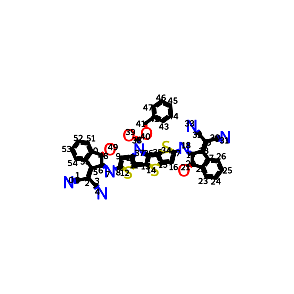 N#CC(C#N)=C1/C(=N/c2cc3c(s2)c2sc4cc(/N=C5\C(=O)c6ccccc6C5=C(C#N)C#N)sc4c2n3C(=O)OCc2ccccc2)C(=O)c2ccccc21